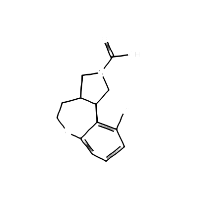 O=C(O)N1CC2CCOc3cccc(Br)c3C2C1